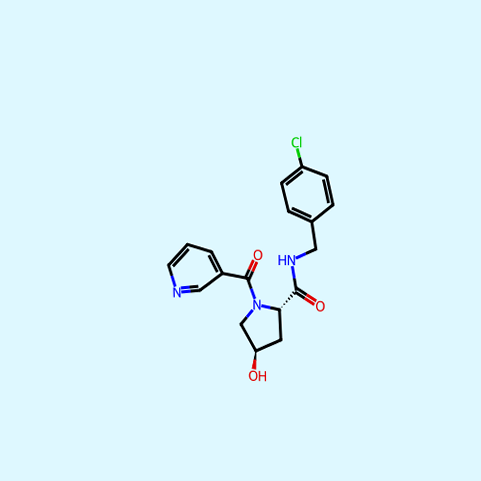 O=C(NCc1ccc(Cl)cc1)[C@@H]1C[C@@H](O)CN1C(=O)c1cccnc1